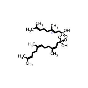 CC(C)=CCCC(C)=CCCC(C)=CCP(=O)(O)OP(=O)(O)C/C=C(\C)CCC=C(C)C